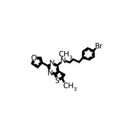 Cc1cc2c(N(C)CCCc3ccc(Br)cc3)nc(-c3ccoc3)nc2s1